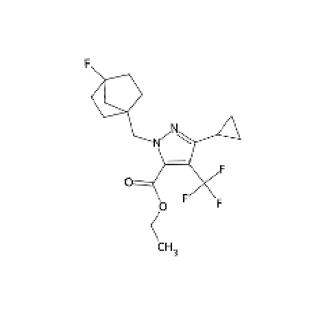 CCOC(=O)c1c(C(F)(F)F)c(C2CC2)nn1CC12CCC(F)(CC1)C2